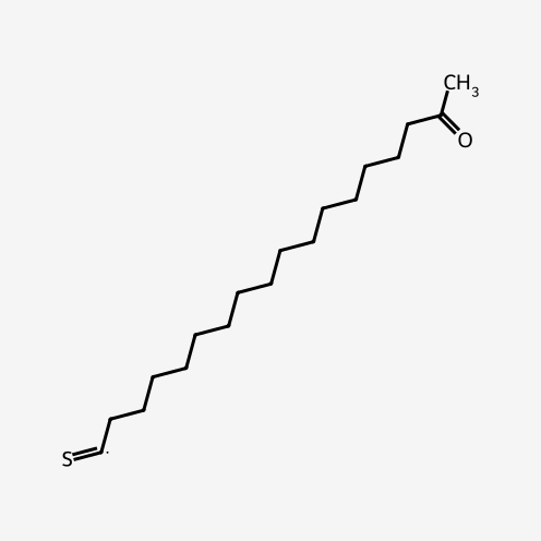 CC(=O)CCCCCCCCCCCCCCC[C]=S